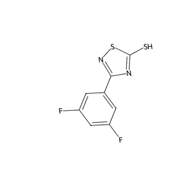 Fc1cc(F)cc(-c2nsc(S)n2)c1